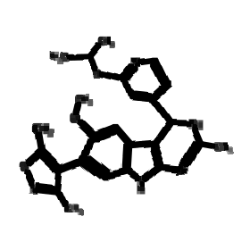 COc1cc2c3c([nH]c2cc1-c1c(C)noc1C)N=C(C)NC3c1ccnc(OC(C)C)c1